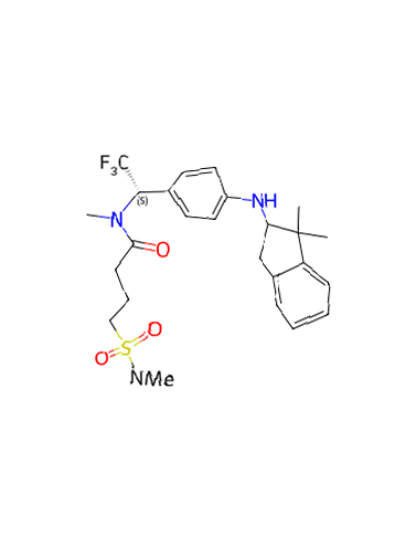 CNS(=O)(=O)CCCC(=O)N(C)[C@@H](c1ccc(NC2Cc3ccccc3C2(C)C)cc1)C(F)(F)F